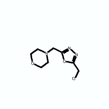 ClCc1nnc(CN2CCOCC2)o1